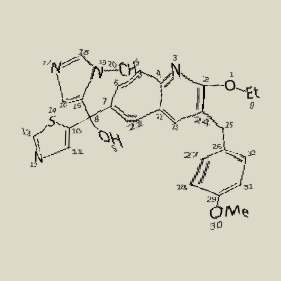 CCOc1nc2ccc(C(O)(c3cncs3)c3cncn3C)cc2cc1Cc1ccc(OC)cc1